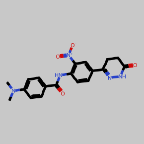 CN(C)c1ccc(C(=O)Nc2ccc(C3=NNC(=O)CC3)cc2[N+](=O)[O-])cc1